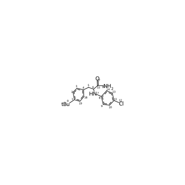 CC(C)(C)c1ccc(CC(Nc2ccc(Cl)cc2)C(N)=O)cc1